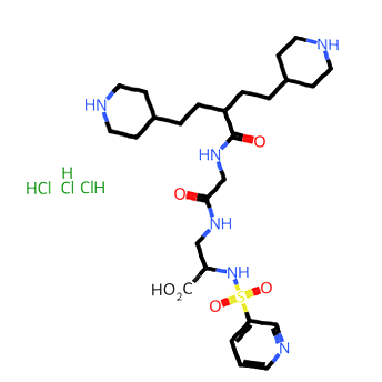 Cl.Cl.Cl.O=C(CNC(=O)C(CCC1CCNCC1)CCC1CCNCC1)NCC(NS(=O)(=O)c1cccnc1)C(=O)O